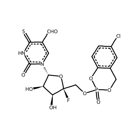 O=Cc1cn([C@@H]2O[C@](F)(COP3(=O)OCc4cc(Cl)ccc4O3)[C@@H](O)[C@H]2O)c(=O)[nH]c1=S